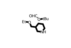 CC(C)(C)OC=O.CCOCC1CCCNC1